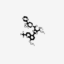 COc1ccc(-c2nc(C(=O)N3CCC(OC)(c4cnccn4)CC3)c([C@H](C)N)o2)c2ccc(C(F)(F)F)nc12